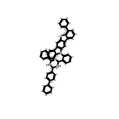 c1ccc(C2=NC(c3ccccc3-n3c4ccccc4c4cc5sc6c(-c7ccccc7)cccc6c5cc43)NC(c3ccc(-c4ccccc4)cc3)N2)cc1